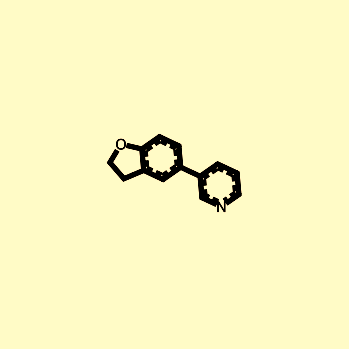 c1cncc(-c2ccc3c(c2)CCO3)c1